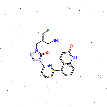 NC/C(=C\F)Cn1ncn(-c2cccc(-c3cccc4[nH]c(=O)ccc34)n2)c1=O